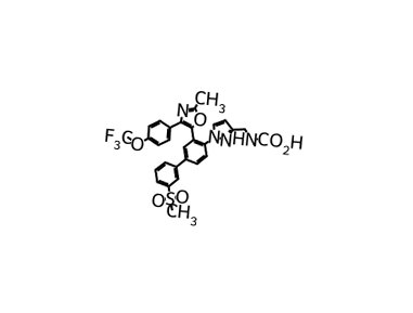 Cc1nc(-c2ccc(OC(F)(F)F)cc2)c(-c2cc(-c3cccc(S(C)(=O)=O)c3)ccc2-n2ccc(CNC(=O)O)n2)o1